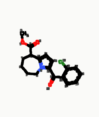 COC(=O)C1CCCCn2c(C(=O)c3ccccc3Cl)ccc21